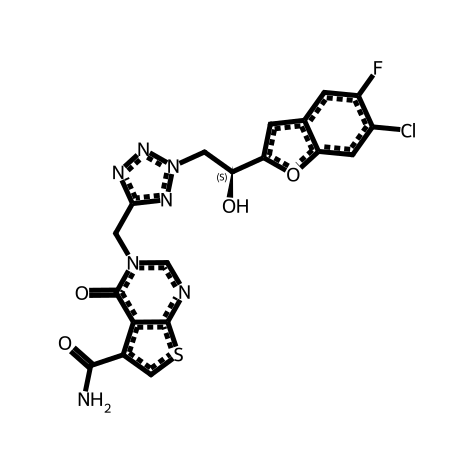 NC(=O)c1csc2ncn(Cc3nnn(C[C@H](O)c4cc5cc(F)c(Cl)cc5o4)n3)c(=O)c12